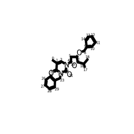 Cc1cn(C2CC(OCc3ccccc3)C(C(C)C)O2)c(=O)n(Cc2ccccc2)c1=O